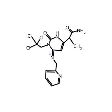 CC(C(N)=O)c1c/c(=N\Cc2ccccn2)n(CC(Cl)(Cl)Cl)c(=O)[nH]1